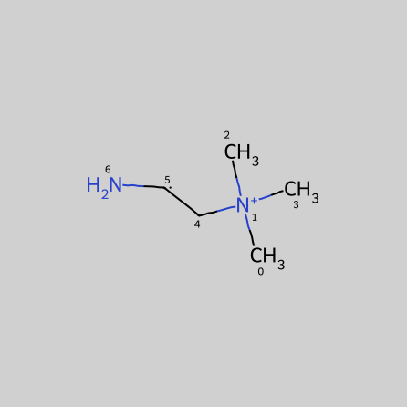 C[N+](C)(C)C[CH]N